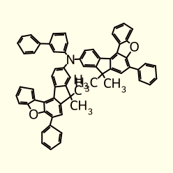 CC1(C)c2cc(N(c3cccc(-c4ccccc4)c3)c3ccc4c(c3)C(C)(C)c3cc(-c5ccccc5)c5oc6ccccc6c5c3-4)ccc2-c2c1cc(-c1ccccc1)c1oc3ccccc3c21